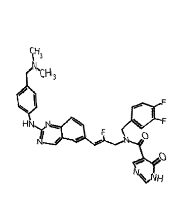 CN(C)Cc1ccc(Nc2ncc3cc(/C=C(\F)CN(Cc4ccc(F)c(F)c4)C(=O)c4cnc[nH]c4=O)ccc3n2)cc1